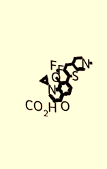 CN1C=C2SC(c3ccc4c(=O)c(C(=O)O)cn(C5CC5)c4c3OC(F)F)=CCC2CC1